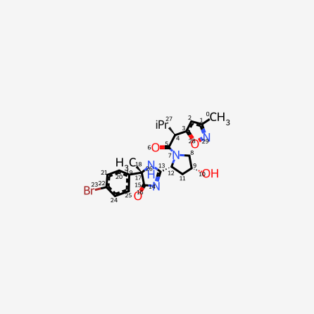 Cc1cc([C@@H](C(=O)N2C[C@H](O)C[C@@H]2C2=NC(=O)[C@](C)(c3ccc(Br)cc3)N2)C(C)C)on1